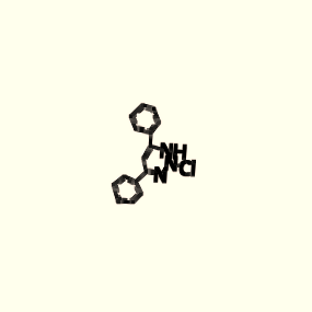 ClN1N=C(c2ccccc2)C=C(c2ccccc2)N1